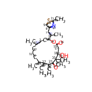 C/C1=C/C[C@@H](/C(C)=C/c2csc(C)n2)OC(=O)C[C@H](O)C(C)(C)C(=O)C(C)[C@@H](C)[C@@H](C)CCC1